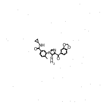 Cc1ccc(C(=O)NC2CC2)cc1-n1cnc(C(=O)c2ccc3c(c2)OCO3)c1N